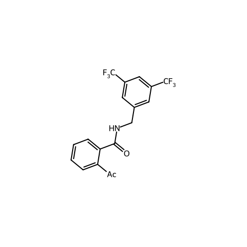 CC(=O)c1ccccc1C(=O)NCc1cc(C(F)(F)F)cc(C(F)(F)F)c1